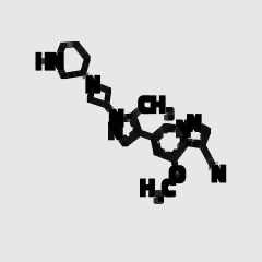 COc1cc(-c2cnn(C3CN([C@H]4CCCNC4)C3)c2C)cn2ncc(C#N)c12